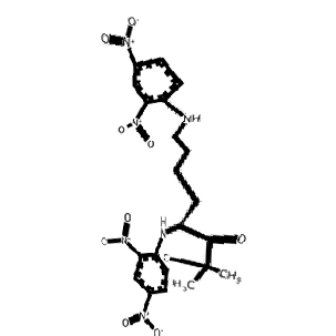 CC(C)(C)C(=O)[C@H](CCCCNc1ccc([N+](=O)[O-])cc1[N+](=O)[O-])Nc1ccc([N+](=O)[O-])cc1[N+](=O)[O-]